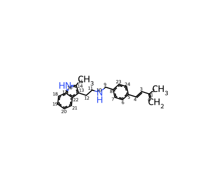 C=C(C)/C=C/c1ccc(CNCCc2c(C)[nH]c3ccccc23)cc1